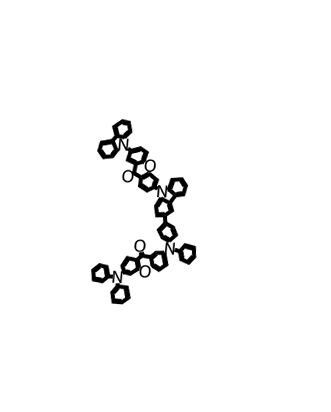 O=c1c2ccc(N(c3ccccc3)c3ccccc3)cc2oc2ccc(N(c3ccccc3)c3ccc(-c4ccc5c(c4)c4ccccc4n5-c4ccc5c(=O)c6cc(-n7c8ccccc8c8ccccc87)ccc6oc5c4)cc3)cc12